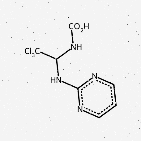 O=C(O)NC(Nc1ncccn1)C(Cl)(Cl)Cl